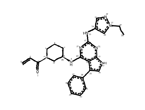 C=CC(=O)N1CCC[C@@H](Nc2nc(Nc3cnn(CC)c3)nc3[nH]cc(-c4ccccc4)c23)C1